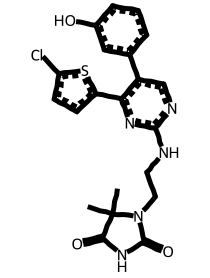 CC1(C)C(=O)NC(=O)N1CCNc1ncc(-c2cccc(O)c2)c(-c2ccc(Cl)s2)n1